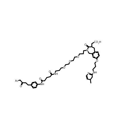 CC(=O)CC(=O)CCc1ccc(NC(=O)CCCC(=O)NCCCOCCOCCOCCCN2Cc3cc(OCCCNC4=NC=CC(C)C4)ccc3CC(CC(=O)O)C2=O)cc1